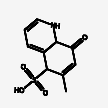 CC1=CC(=O)C2NC=CC=C2C1S(=O)(=O)O